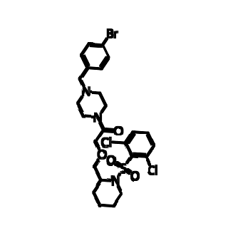 O=C(COCC1CCCCN1S(=O)(=O)c1c(Cl)cccc1Cl)N1CCN(Cc2ccc(Br)cc2)CC1